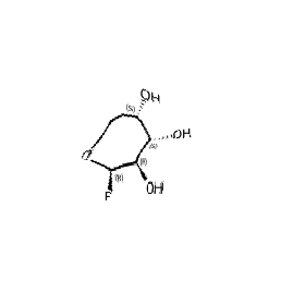 O[C@@H]1[C@@H](O)[C@@H](F)OC[C@@H]1O